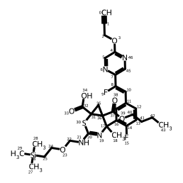 C#CCOc1cnc(C(F)=Cc2ccc(F)c(C3(C)N=C(NCOCC[Si](C)(C)C)SC4(C(=O)O)CC43C(=O)OCCCC)c2)cn1